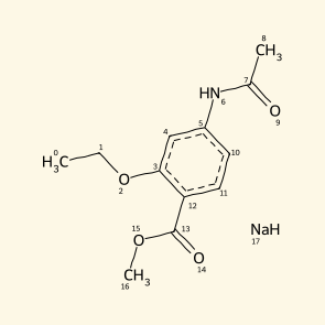 CCOc1cc(NC(C)=O)ccc1C(=O)OC.[NaH]